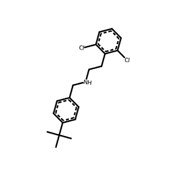 CC(C)(C)c1ccc(CNCCc2c(Cl)cccc2Cl)cc1